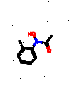 CC(=O)N(O)c1ccccc1C